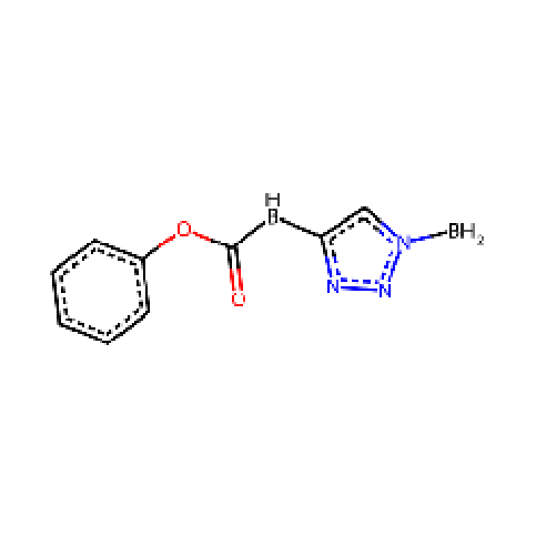 Bn1cc(BC(=O)Oc2ccccc2)nn1